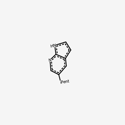 CCCC(C)c1cnc2[nH]ccc2c1